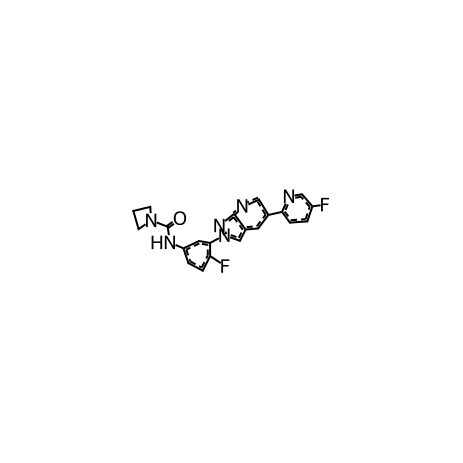 O=C(Nc1ccc(F)c(-n2cc3cc(-c4ccc(F)cn4)cnc3n2)c1)N1CCC1